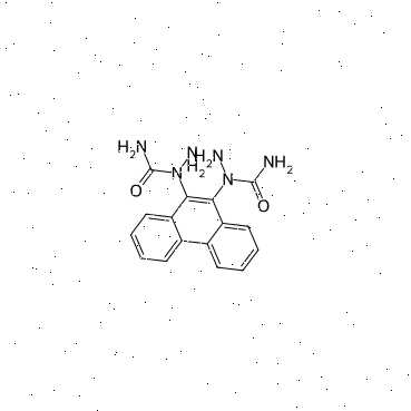 NC(=O)N(N)c1c(N(N)C(N)=O)c2ccccc2c2ccccc12